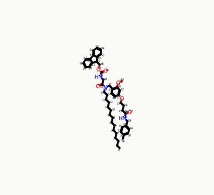 CCCCCCCCCCCCCCCCN(Cc1ccc(OCCCC(=O)NCc2ccc(C)cc2)cc1OC)C(=O)CNC(=O)OCC1c2ccccc2-c2ccccc21